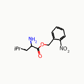 CC(C)CC(N)C(=O)OCc1ccccc1[N+](=O)[O-]